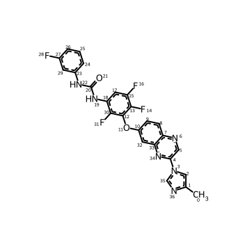 Cc1cn(-c2cnc3ccc(Oc4c(F)c(F)cc(NC(=O)Nc5cccc(F)c5)c4F)cc3n2)cn1